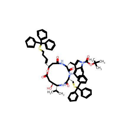 CC(C)[C@H]1NC(=O)[C@@H](CSC(c2ccccc2)(c2ccccc2)c2ccccc2)NC(=O)[C@@H](Cc2cn(C(=O)OC(C)(C)C)c3ccccc23)NC(=O)C[C@@H](C=CCCSC(c2ccccc2)(c2ccccc2)c2ccccc2)OC(=O)C[C@@H]1O